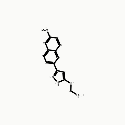 COc1ccc2cc(-c3cc(SCC(=O)O)[nH]n3)ccc2c1